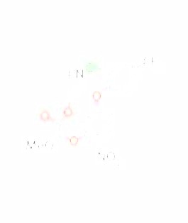 COC(Oc1cc(Oc2ccc(C(F)(F)F)cc2Cl)ccc1[N+](=O)[O-])C(=O)OCCC#N